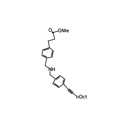 CCCCCCCCC#Cc1ccc(CNCc2ccc(CCC(=O)OC)cc2)cc1